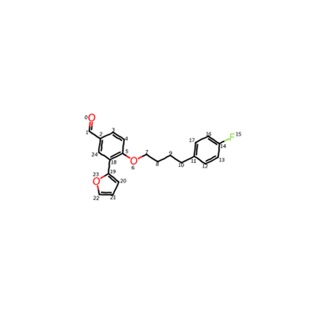 O=Cc1ccc(OCCCCc2ccc(F)cc2)c(-c2ccco2)c1